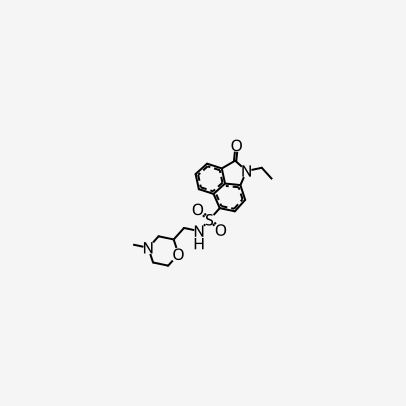 CCN1C(=O)c2cccc3c(S(=O)(=O)NCC4CN(C)CCO4)ccc1c23